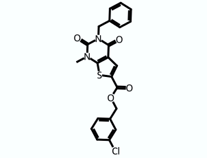 Cn1c(=O)n(Cc2ccccc2)c(=O)c2cc(C(=O)OCc3cccc(Cl)c3)sc21